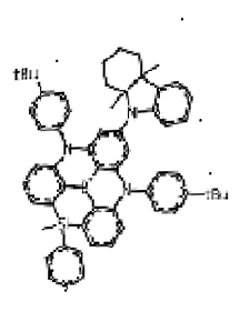 CC(C)(C)c1ccc(N2c3cc(N4c5ccccc5C5(C)CCCCC45C)cc4c3B3c5c2cccc5[Si](C)(c2ccccc2)c2cccc(c23)N4c2ccc(C(C)(C)C)cc2)cc1